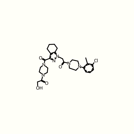 Cc1c(Cl)cccc1N1CCN(C(=O)Cn2nc(C(=O)N3CCN(C(=O)CO)CC3)c3c2CCCC3)CC1